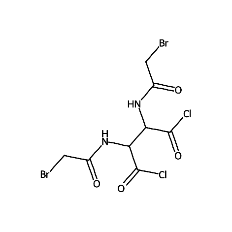 O=C(CBr)NC(C(=O)Cl)C(NC(=O)CBr)C(=O)Cl